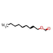 CCCCCCC=CCO[C]=O